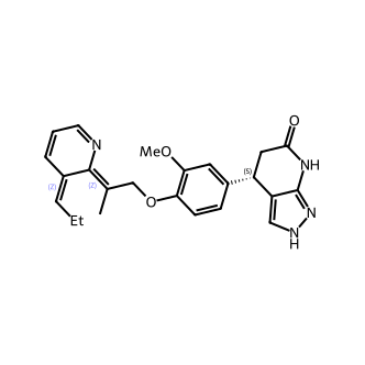 CC/C=c1/cccn/c1=C(/C)COc1ccc([C@@H]2CC(=O)Nc3n[nH]cc32)cc1OC